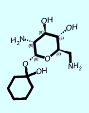 NC[C@H]1O[C@H](OC2(O)CCCCC2)[C@H](N)[C@@H](O)[C@@H]1O